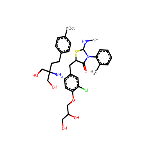 CCCCCCCCc1ccc(CCC(N)(CO)CO)cc1.CCCNC1SC(Cc2ccc(OCC(O)CO)c(Cl)c2)C(=O)N1c1ccccc1C